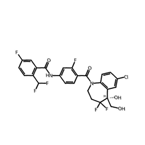 O=C(Nc1ccc(C(=O)N2CCC(F)(F)[C@](O)(CO)c3cc(Cl)ccc32)c(F)c1)c1cc(F)ccc1C(F)F